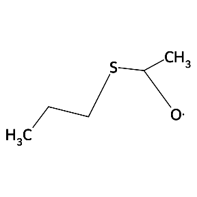 CCCSC(C)[O]